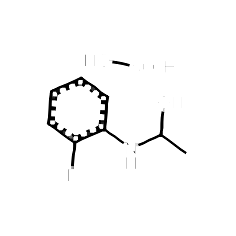 CCc1ccccc1NC(C)O.O=S(=O)(O)O